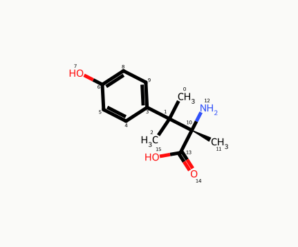 CC(C)(c1ccc(O)cc1)[C@](C)(N)C(=O)O